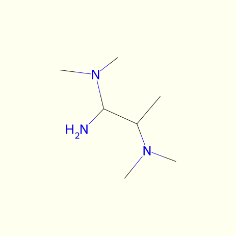 CC(C(N)N(C)C)N(C)C